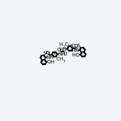 Cc1cc(C(=O)Nc2c(S(=O)(=O)O)ccc3cccc(O)c23)ccc1NC(=O)C(=O)Nc1ccc(C(=O)Nc2c(S(=O)(=O)O)ccc3cccc(O)c23)cc1C